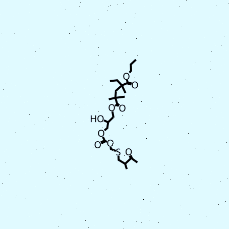 CCCOC(=O)C(C)(CC)CC(C)(C)C(=O)OCC(O)COC(=O)OCSCC(C)C(C)=O